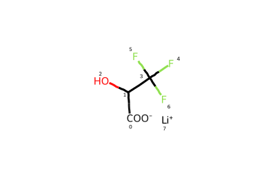 O=C([O-])C(O)C(F)(F)F.[Li+]